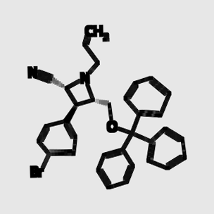 C=CCN1[C@H](COC(c2ccccc2)(c2ccccc2)c2ccccc2)[C@@H](c2ccc(Br)cc2)[C@@H]1C#N